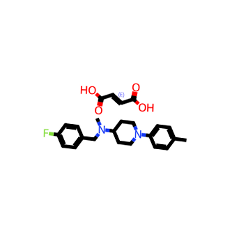 Cc1ccc(N2CCC(N(C)Cc3ccc(F)cc3)CC2)cc1.O=C(O)/C=C/C(=O)O